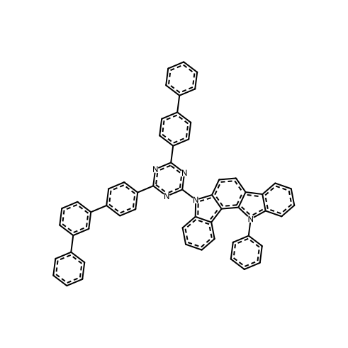 c1ccc(-c2ccc(-c3nc(-c4ccc(-c5cccc(-c6ccccc6)c5)cc4)nc(-n4c5ccccc5c5c4ccc4c6ccccc6n(-c6ccccc6)c45)n3)cc2)cc1